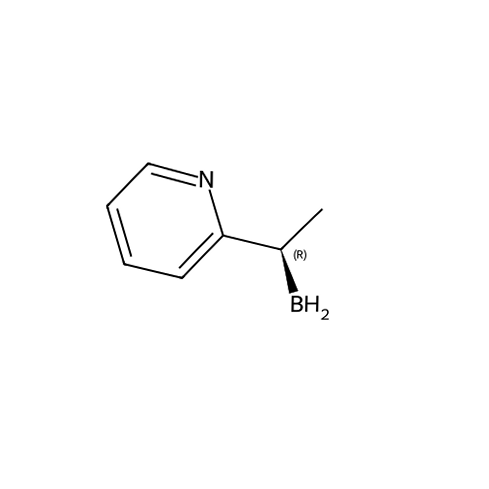 B[C@H](C)c1ccccn1